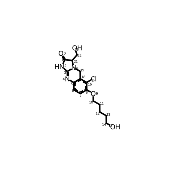 O=C1NC2=Nc3ccc(OCCCCCO)c(Cl)c3CN2C1CO